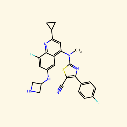 CN(c1nc(-c2ccc(F)cc2)c(C#N)s1)c1cc(C2CC2)nc2c(F)cc(NC3CNC3)cc12